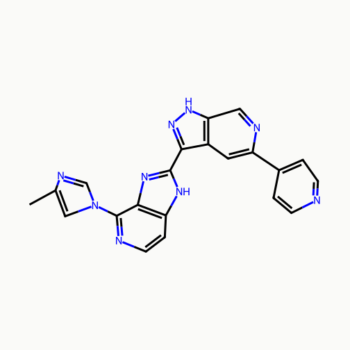 Cc1cn(-c2nccc3[nH]c(-c4n[nH]c5cnc(-c6ccncc6)cc45)nc23)cn1